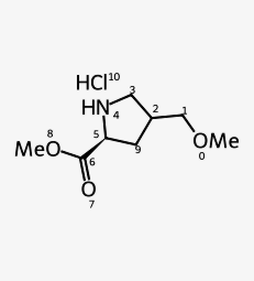 COCC1CN[C@H](C(=O)OC)C1.Cl